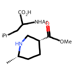 CC(=O)NC(CC(C)C)C(=O)O.COC(=O)[C@@H]1CC[C@H](C)NC1